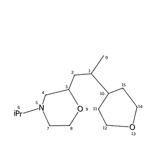 CC(CC1CN(C(C)C)CCO1)C1CCOCC1